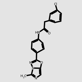 Cc1ncc2oc(-c3ccc(NC(=O)Cc4cccc(Cl)c4)cc3)nn12